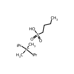 CC(C)[N+](C)(C)C(C)C.CCCCS(=O)(=O)O